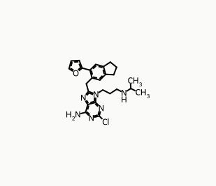 CC(C)NCCCn1c(Cc2cc3c(cc2-c2ccco2)CCC3)nc2c(N)nc(Cl)nc21